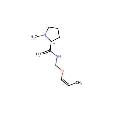 C=C(NCO/C=C\C)[C@@H]1CCCN1C